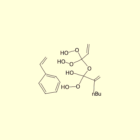 C=CC(OO)(OO)OC(O)(OO)C(=C)CCCC.C=Cc1ccccc1